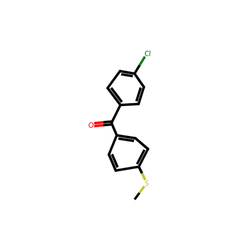 CSc1ccc(C(=O)c2ccc(Cl)cc2)cc1